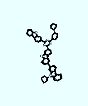 C1=CCCC(n2c3ccccc3c3ccc(-c4ccc5oc6cc(-c7nc(-c8cccc(-c9ccccc9)c8)nc(-c8ccc9c(c8)oc8ccccc89)n7)ccc6c5c4)cc32)=C1